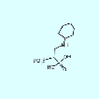 O=P(O)(O)C(CNC1CCCCC1)S(=O)(=O)O